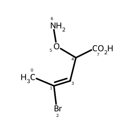 C/C(Br)=C\C(ON)C(=O)O